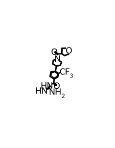 N=C(N)NC(=O)c1ccc(C2CCN(C(=O)C3CCOCC3)CC2)c(C(F)(F)F)c1